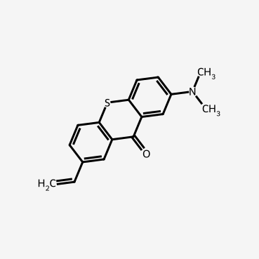 C=Cc1ccc2sc3ccc(N(C)C)cc3c(=O)c2c1